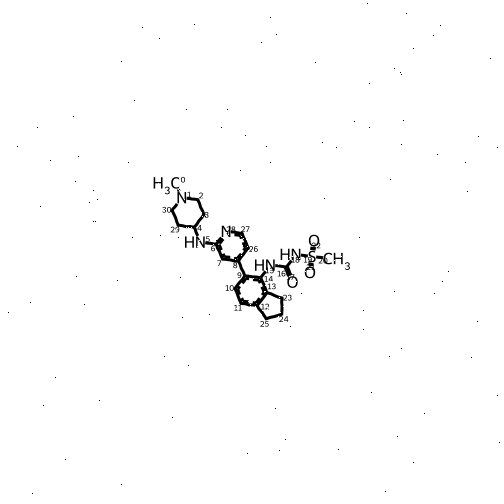 CN1CCC(Nc2cc(-c3ccc4c(c3NC(=O)NS(C)(=O)=O)CCC4)ccn2)CC1